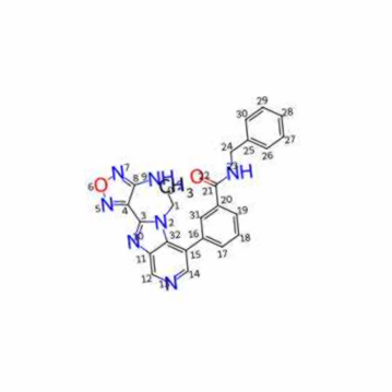 CCn1c(-c2nonc2N)nc2cncc(-c3cccc(C(=O)NCc4ccccc4)c3)c21